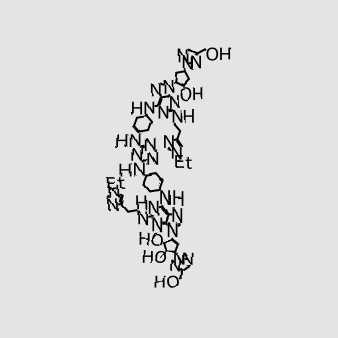 CCn1cnc(CCNc2nc(N[C@H]3CC[C@H](Nc4ncnc(N[C@H]5CC[C@H](Nc6nc(NCCc7cn(CC)cn7)nc7c6ncn7[C@@H]6C[C@H](n7ncc(CO)n7)C[C@H]6O)CC5)n4)CC3)c3ncn([C@@H]4C[C@H](n5ncc(CO)n5)[C@@H](O)[C@H]4O)c3n2)c1